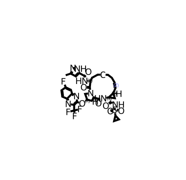 Cc1cc(C(=O)N[C@H]2CCCCC/C=C\[C@@H]3C[C@@]3(C(=O)NS(=O)(=O)C3CC3)NC(=O)[C@@H]3C[C@@H](Oc4nc5cc(F)ccc5nc4C(F)(F)F)CN3C2=O)[nH]n1